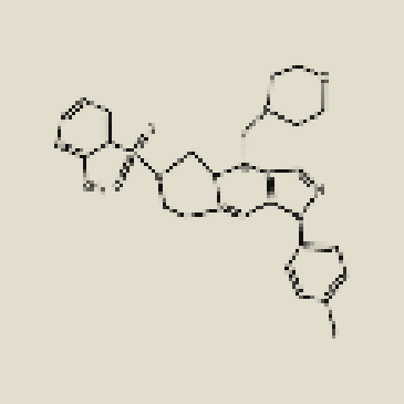 Cc1ccccc1S(=O)(=O)N1CCC2=Cc3c(cnn3-c3ccc(F)cc3)[C@@H](CN3CCOCC3)C2C1